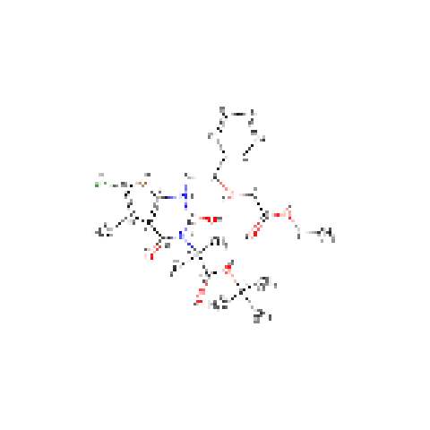 CCOC(=O)COC(Cn1c(=O)n(C(C)(C)C(=O)OC(C)(C)C)c(=O)c2c(C)c(Br)sc21)c1ccccc1